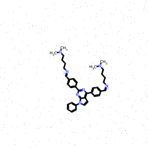 CN(C)CCCC/N=C\c1ccc(-c2nc(-c3ccc(/C=N/CCCCN(C)C)cc3)nc3c2ccn3-c2ccccc2)cc1